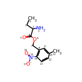 CCC(N)C(=O)OCc1cc(C)ccc1[N+](=O)[O-]